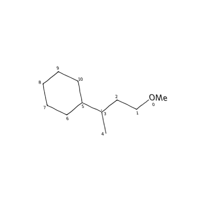 COCC[C](C)C1CCCCC1